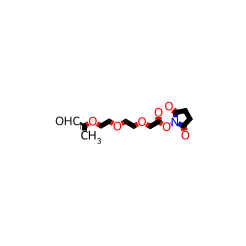 C[C@@H](C=O)OCCOCCOCC(=O)ON1C(=O)CCC1=O